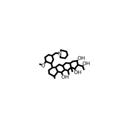 COC1CCC(CN2CCCCC2)CC1C1CCC(C)C2C(O)C3C(CC12)CC1CC(O)C(C(C)O)C(O)C1(C)C3C